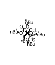 CCCCOP(=O)(OCCCC)C(O)(CBr)P(=O)(OCCCC)OCCCC